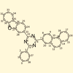 c1ccc(-c2nc(-c3ccc4c(ccc5ccccc54)c3)nc(-c3ccc4c(c3)oc3ccccc34)n2)cc1